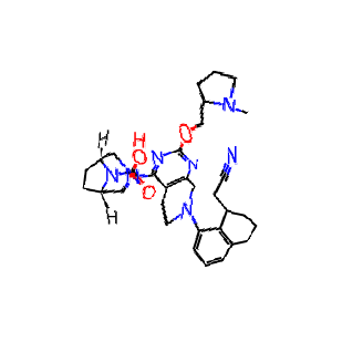 CN1CCCC1COc1nc2c(c(N3C[C@H]4CC[C@@H](C3)N4C(=O)O)n1)CCN(c1cccc3c1C(CC#N)CCC3)C2